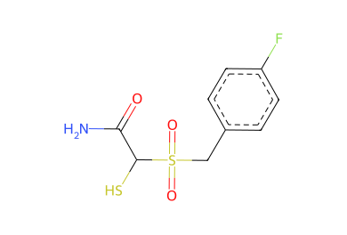 NC(=O)C(S)S(=O)(=O)Cc1ccc(F)cc1